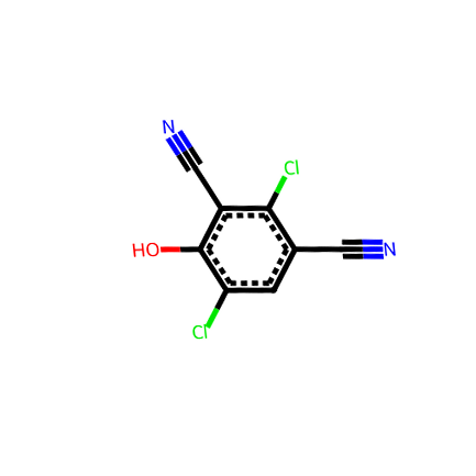 N#Cc1cc(Cl)c(O)c(C#N)c1Cl